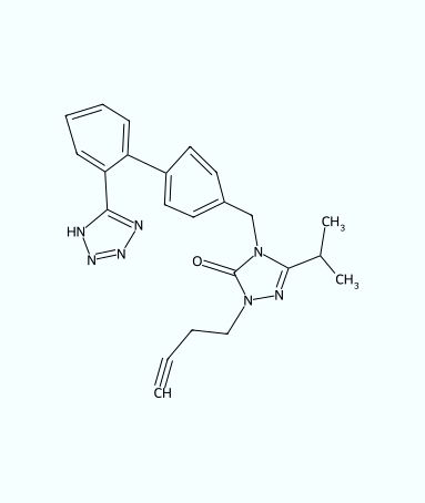 C#CCCn1nc(C(C)C)n(Cc2ccc(-c3ccccc3-c3nnn[nH]3)cc2)c1=O